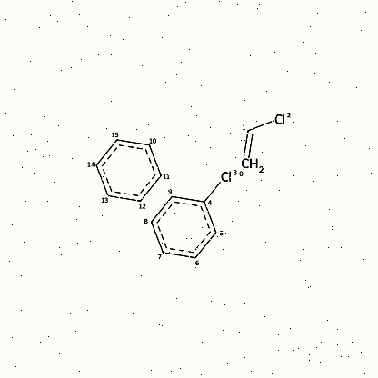 C=CCl.Clc1ccccc1.c1ccccc1